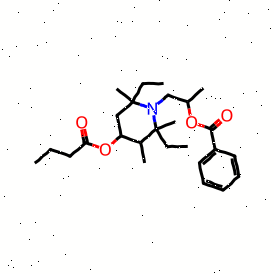 CCCC(=O)OC1CC(C)(CC)N(CC(C)OC(=O)c2ccccc2)C(C)(CC)C1C